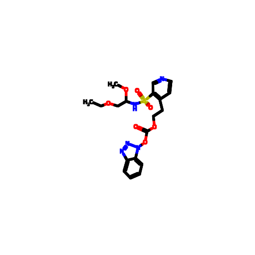 CCOCC(NS(=O)(=O)c1cnccc1CCOC(=O)On1nnc2ccccc21)OC